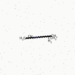 C=C(CCCC)CCC/C=C/C=C/CCCCCCCCCC(=C)CC(C)C